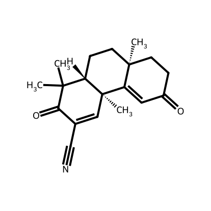 CC1(C)C(=O)C(C#N)=C[C@]2(C)C3=CC(=O)CC[C@]3(C)CC[C@@H]12